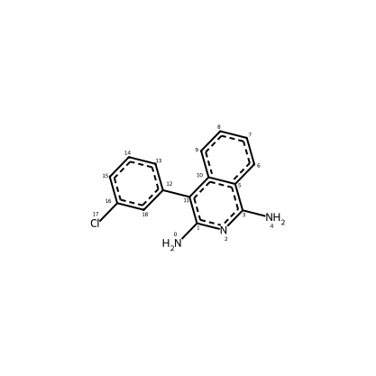 Nc1nc(N)c2ccccc2c1-c1cccc(Cl)c1